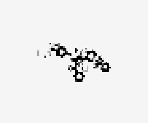 N=C(N)c1ccc(CSc2cc(C3CN(S(=O)(=O)N4CCCC4)CCC3C(F)(F)F)nn2C(=O)c2ccccc2Cl)cc1